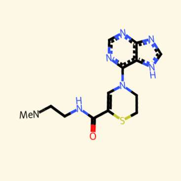 CNCCNC(=O)C1=CN(c2ncnc3nc[nH]c23)CCS1